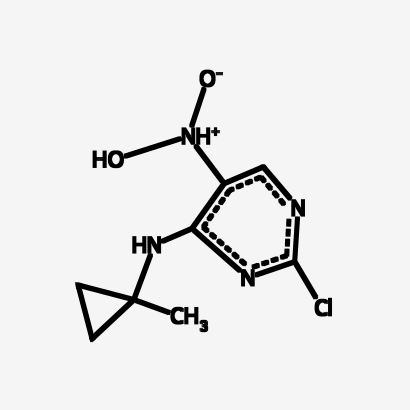 CC1(Nc2nc(Cl)ncc2[NH+]([O-])O)CC1